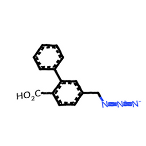 [N-]=[N+]=NCc1ccc(C(=O)O)c(-c2ccccc2)c1